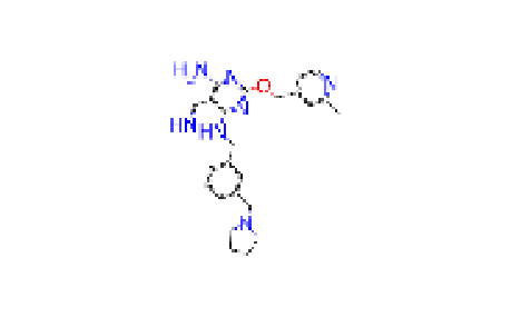 Cc1cc(COc2nc(N)c(C=N)c(NCc3cccc(CN4CCCC4)c3)n2)ccn1